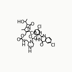 CC(O)C1C(=O)N2C(C(=O)O)=C(COC(=O)NCC3CNCCN3C(=O)Oc3ccc(Cl)cc3-c3nc4ccc(Cl)cc4c(=O)[nH]3)C(C)C12